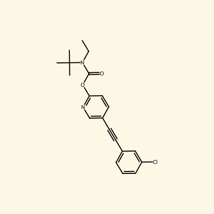 CCN(C(=O)Oc1ccc(C#Cc2cccc(Cl)c2)cn1)C(C)(C)C